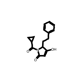 O=C1C=C(O)C(CCc2ccccc2)N1C(=O)C1CC1